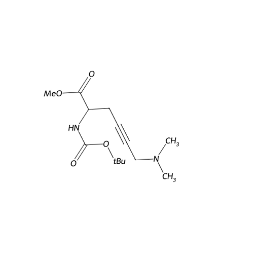 COC(=O)C(CC#CCN(C)C)NC(=O)OC(C)(C)C